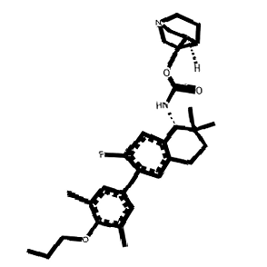 CCCOc1c(C)cc(-c2cc3c(cc2F)[C@H](NC(=O)O[C@H]2CN4CCC2CC4)C(C)(C)CC3)cc1C